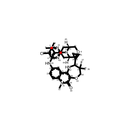 CN(C)C(=O)C1C[C@H]2COC[C@@H](C1)N2c1ncc(Cl)c(Nc2ccc3c(c2)c2c(c(=O)n3C)OCC(F)(F)C(C3CC3)N2)n1